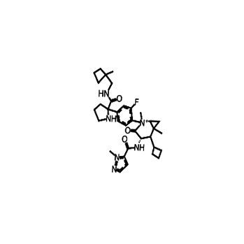 Cn1nccc1C(=O)N[C@@H]1C(=O)[N+](C)(c2ccc(C3(C(=O)NCC4(C)CCC4)CCCN3)cc2F)C2CC2(C)C1C1CCC1